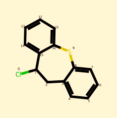 ClC1Cc2ccccc2Sc2ccccc21